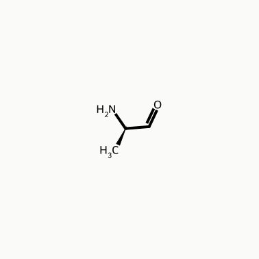 C[C@@H](N)C=O